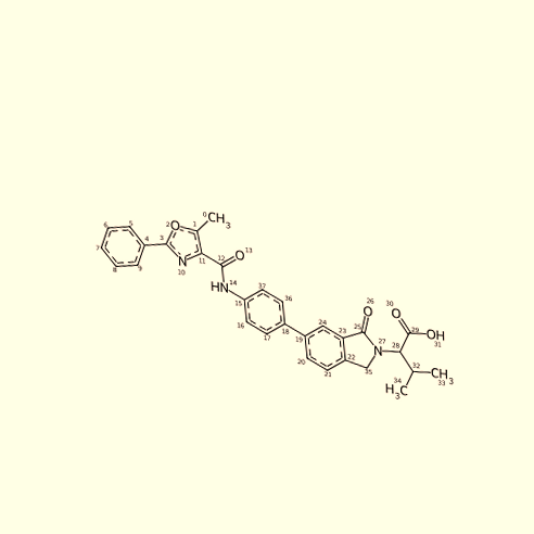 Cc1oc(-c2ccccc2)nc1C(=O)Nc1ccc(-c2ccc3c(c2)C(=O)N(C(C(=O)O)C(C)C)C3)cc1